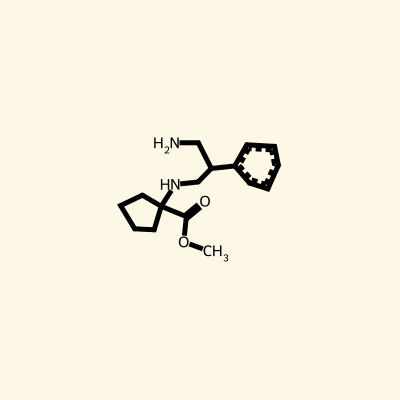 COC(=O)C1(NCC(CN)c2ccccc2)CCCC1